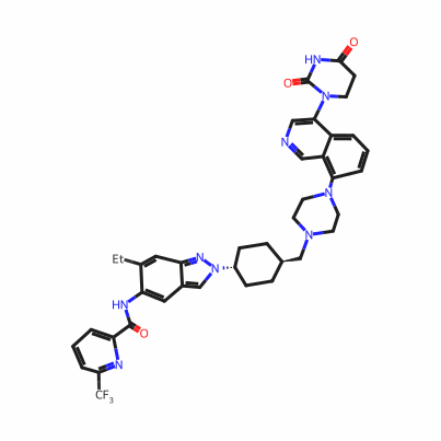 CCc1cc2nn([C@H]3CC[C@H](CN4CCN(c5cccc6c(N7CCC(=O)NC7=O)cncc56)CC4)CC3)cc2cc1NC(=O)c1cccc(C(F)(F)F)n1